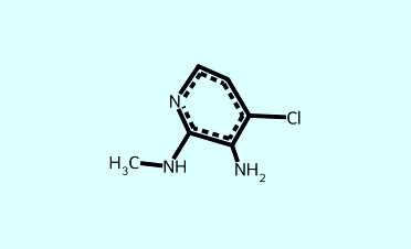 CNc1nccc(Cl)c1N